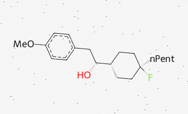 CCCCC[C@]1(F)CC[C@H]([C@H](O)Cc2ccc(OC)cc2)CC1